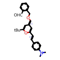 CN(C)c1ccc(/C=C/C2=CC(=C/OCc3ccccc3C=O)/C=C(C(C)(C)C)O2)cc1